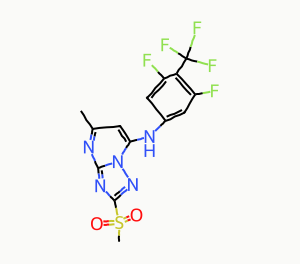 Cc1cc(Nc2cc(F)c(C(F)(F)F)c(F)c2)n2nc(S(C)(=O)=O)nc2n1